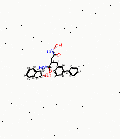 O=C(C[C@@H](Cc1cccc(-c2ccccc2)c1)C(=O)N[C@H]1c2ccccc2C[C@H]1O)NO